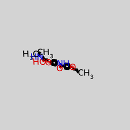 CCCCOc1ccc(C(=O)Nc2ccc(OCC(O)CNC(C)C)cc2)cc1